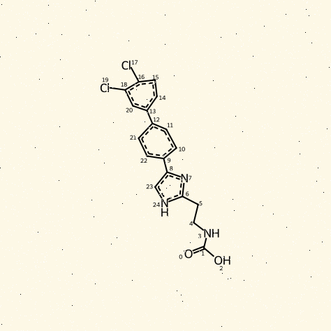 O=C(O)NCCc1nc(-c2ccc(-c3ccc(Cl)c(Cl)c3)cc2)c[nH]1